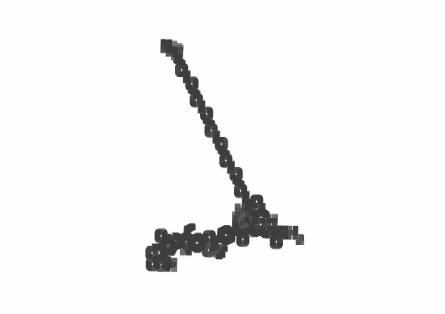 CCc1c2c(nc3ccc(OC(C(=O)N(C)C)c4ccc(NC(=O)[C@H](CCCNC(N)=O)NC(=O)[C@@H](NC(=O)CCOCCOCCOCCOCCOCCOCCOCCOCCOCCN=[N+]=[N-])C(C)C)cc4)cc13)-c1cc3c(c(=O)n1C2)COC(=O)[C@]3(O)CC